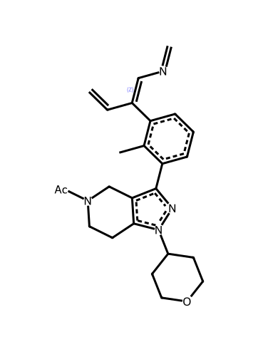 C=C/C(=C/N=C)c1cccc(-c2nn(C3CCOCC3)c3c2CN(C(C)=O)CC3)c1C